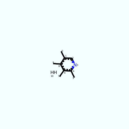 Cc1cnc(C)c(C)c1C.[HH]